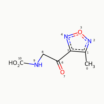 Cc1nonc1C(=O)CNC(=O)O